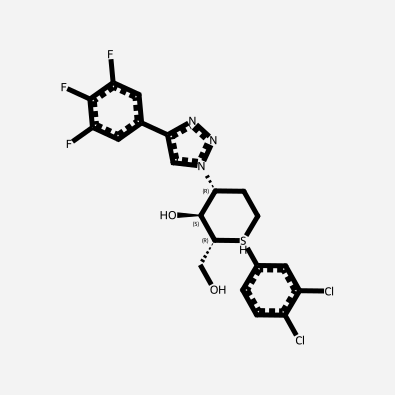 OC[C@@H]1[C@@H](O)[C@H](n2cc(-c3cc(F)c(F)c(F)c3)nn2)CC[SH]1c1ccc(Cl)c(Cl)c1